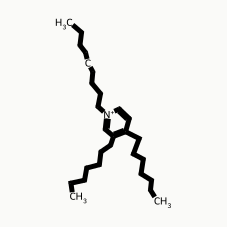 CCCCCCCCC[n+]1ccc(CCCCCCC)c(CCCCCCC)c1